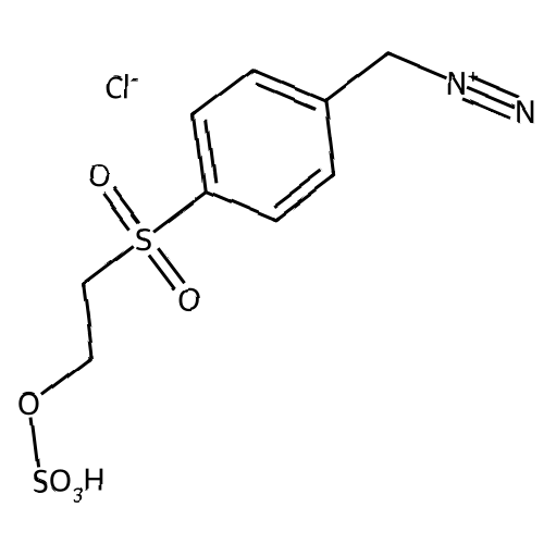 N#[N+]Cc1ccc(S(=O)(=O)CCOS(=O)(=O)O)cc1.[Cl-]